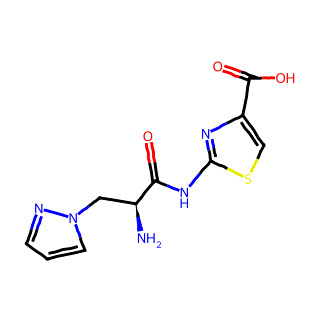 N[C@@H](Cn1cccn1)C(=O)Nc1nc(C(=O)O)cs1